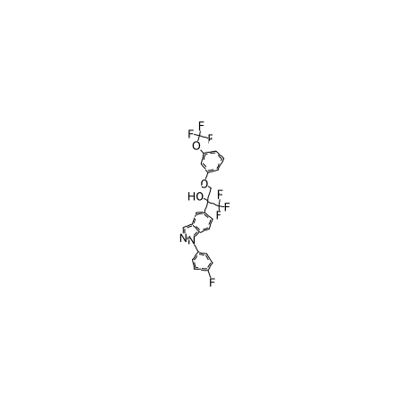 OC(COc1cccc(OC(F)(F)F)c1)(c1ccc2c(cnn2-c2ccc(F)cc2)c1)C(F)(F)F